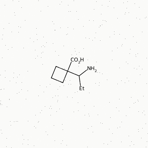 CCC(N)C1(C(=O)O)CCC1